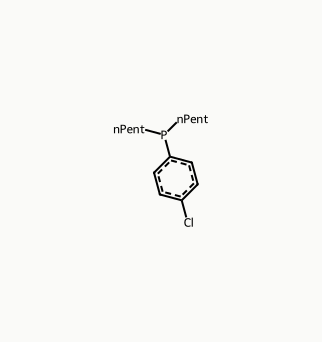 CCCCCP(CCCCC)c1ccc(Cl)cc1